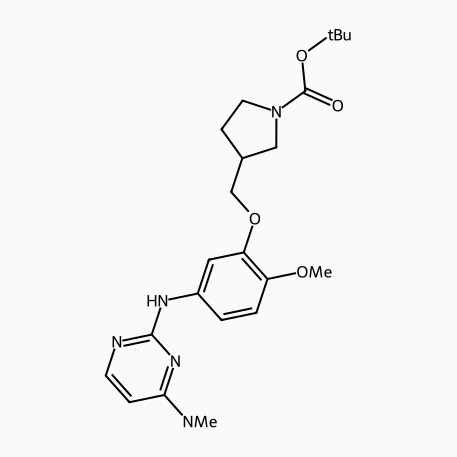 CNc1ccnc(Nc2ccc(OC)c(OCC3CCN(C(=O)OC(C)(C)C)C3)c2)n1